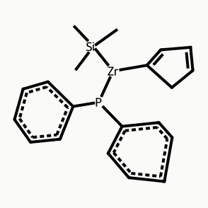 C[Si](C)(C)[Zr]([C]1=CC=CC1)[P](c1ccccc1)c1ccccc1